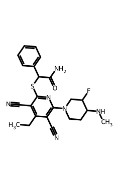 CCc1c(C#N)c(SC(C(N)=O)c2ccccc2)nc(N2CCC(NC)C(F)C2)c1C#N